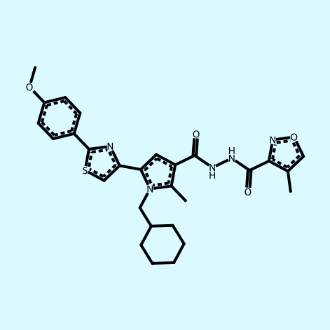 COc1ccc(-c2nc(-c3cc(C(=O)NNC(=O)c4nocc4C)c(C)n3CC3CCCCC3)cs2)cc1